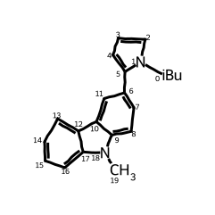 CCC(C)n1cccc1-c1ccc2c(c1)c1ccccc1n2C